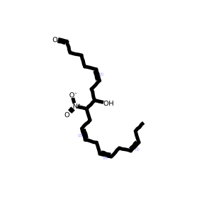 CC/C=C\C/C=C\C/C=C\CC(C(O)C/C=C\CCC[C]=O)[N+](=O)[O-]